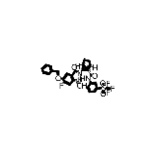 COc1cc(F)c(OCc2ccccc2)cc1C(=O)N[C@@H]1[C@H]2CC[C@H](C2)[C@@H]1C(=O)Nc1cccc(S(=O)(=O)C(F)(F)F)c1